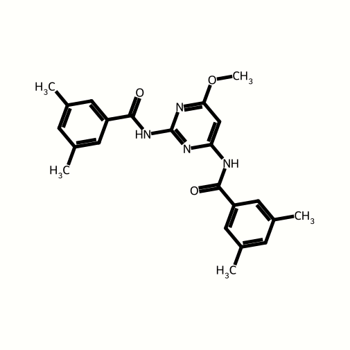 COc1cc(NC(=O)c2cc(C)cc(C)c2)nc(NC(=O)c2cc(C)cc(C)c2)n1